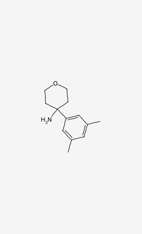 Cc1cc(C)cc(C2(N)CCOCC2)c1